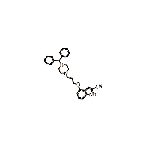 N#Cc1cc2c(OCCCN3CCN(C(c4ccccc4)c4ccccc4)CC3)cccc2[nH]1